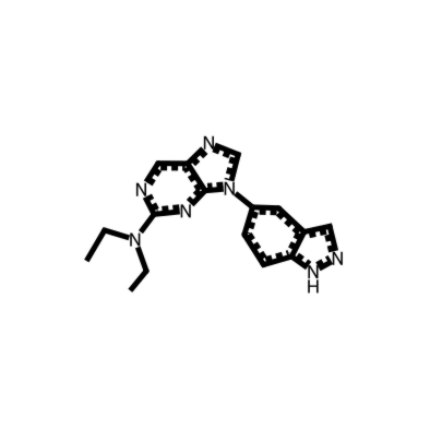 CCN(CC)c1ncc2ncn(-c3ccc4[nH]ncc4c3)c2n1